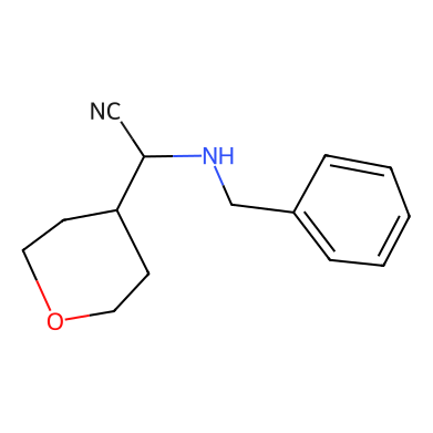 N#CC(NCc1ccccc1)C1CCOCC1